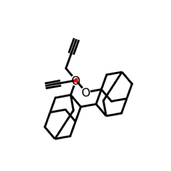 C#CCOC12CC3CC(CC(C3)C1C1C3CC4CC(C3)CC1(OCC#C)C4)C2